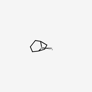 NN1C2CCCC1CC2